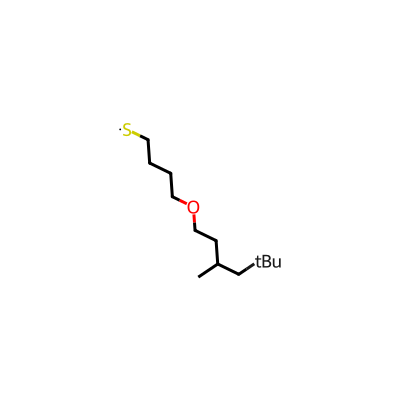 CC(CCOCCCC[S])CC(C)(C)C